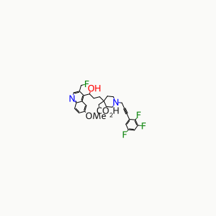 COc1ccc2ncc(CF)c([C@@H](O)CCC3(CC(=O)O)CCN(CC#Cc4cc(F)cc(F)c4F)CC3)c2c1